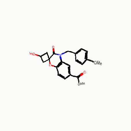 COC(=O)c1ccc2c(c1)N(Cc1ccc(OC)cc1)C(=O)C1(CC(O)C1)O2